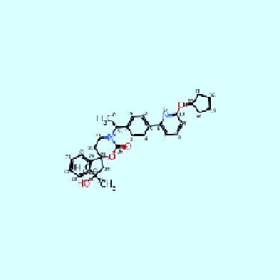 C[C@@H](c1ccc(-c2cccc(OC3CCCC3)n2)cc1)N1CCC(CC(C)(C)O)(c2ccccc2)OC1=O